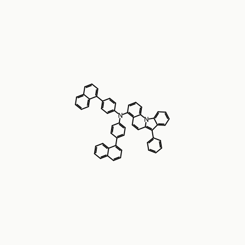 c1ccc(-c2c3ccccc3n3c2ccc2c(N(c4ccc(-c5cccc6ccccc56)cc4)c4ccc(-c5cccc6ccccc56)cc4)cccc23)cc1